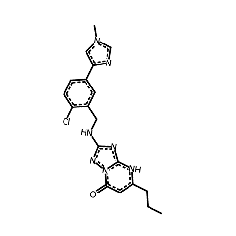 CCCc1cc(=O)n2nc(NCc3cc(-c4cn(C)cn4)ccc3Cl)nc2[nH]1